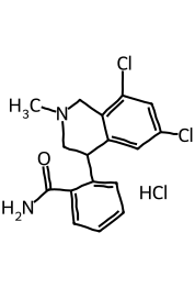 CN1Cc2c(Cl)cc(Cl)cc2C(c2ccccc2C(N)=O)C1.Cl